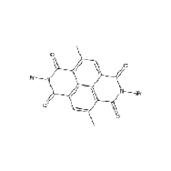 Cc1cc2c3c(c(C)cc4c3c1C(=O)N(C(C)C)C4=O)C(=O)N(C(C)C)C2=O